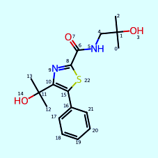 CC(C)(O)CNC(=O)c1nc(C(C)(C)O)c(-c2ccccc2)s1